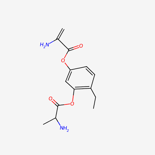 C=C(N)C(=O)Oc1ccc(CC)c(OC(=O)C(C)N)c1